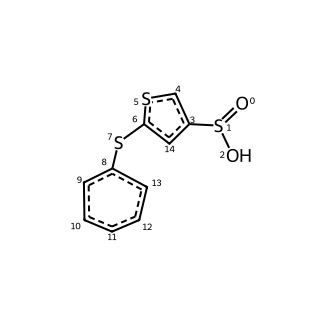 O=S(O)c1csc(Sc2ccccc2)c1